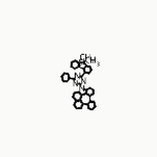 C[Si]1(C)c2ccccc2-c2c(-c3nc(-c4ccccc4)nc(-n4c5cccc6c5c5c7c(cccc7ccc54)-c4ccccc4-6)n3)cccc21